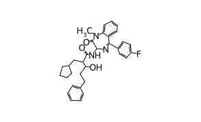 CN1C(=O)C(NC(=O)C(CC2CCCC2)C(O)CCc2ccccc2)N=C(c2ccc(F)cc2)c2ccccc21